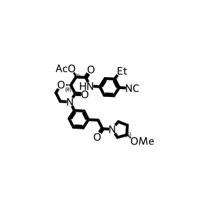 [C-]#[N+]c1ccc(NC(=O)[C@H](OC(C)=O)[C@H]2OCCN(c3cccc(CC(=O)N4CC[C@H](OC)C4)c3)C2=O)cc1CC